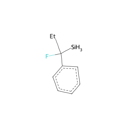 CCC(F)([SiH3])c1ccccc1